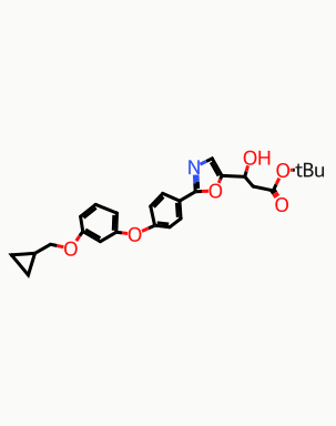 CC(C)(C)OC(=O)CC(O)c1cnc(-c2ccc(Oc3cccc(OCC4CC4)c3)cc2)o1